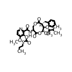 CCCSC(=O)Oc1c(OC)ccnc1C(=O)N[C@H]1COC(=O)[C@H](Cc2ccccc2)[C@@H](OC(=O)C(C)C)[C@H](C)OC1=O